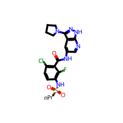 CCCS(=O)(=O)Nc1ccc(Cl)c(C(=O)Nc2cnc3[nH]nc(N4CCCC4)c3c2)c1F